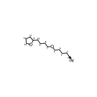 N#CCCCCOCCCCC1CCCO1